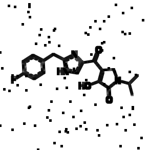 CC(C)N1CC(C(=O)c2c[nH]c(Cc3ccc(F)cc3)n2)=C(O)C1=O